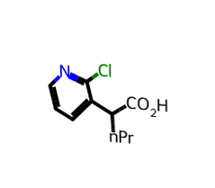 CCCC(C(=O)O)c1cccnc1Cl